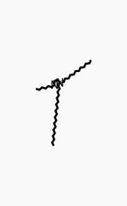 CCCCCCCCCCCCCCCCCCCc1n(CCCCCCCCCCCC)cc[n+]1CCCCCC